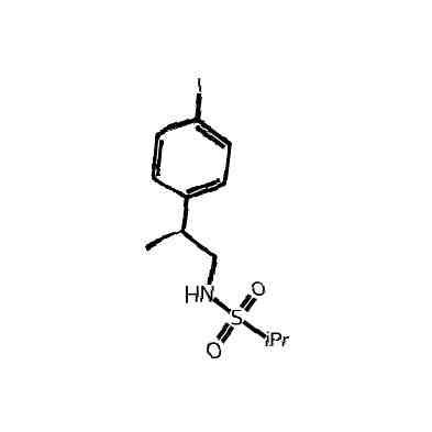 CC(C)S(=O)(=O)NC[C@@H](C)c1ccc(I)cc1